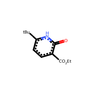 CCOC(=O)c1ccc(C(C)(C)C)[nH]c1=O